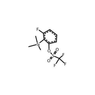 C[Si](C)(C)c1c(F)cccc1OS(=O)(=O)C(F)(F)F